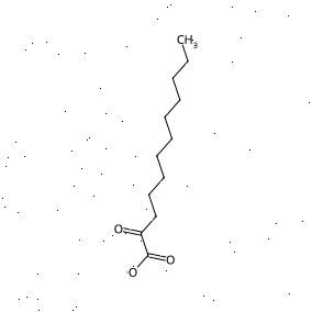 CCCCCCCCCCC(=O)C([O])=O